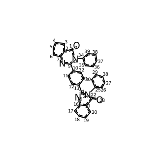 O=c1c2ccccc2nc(-c2ccc(-c3nc4ccccc4c(=O)n3-c3ccccc3)cc2)n1-c1ccccc1